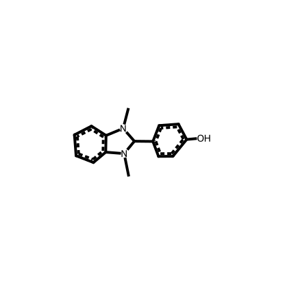 CN1c2ccccc2N(C)C1c1ccc(O)cc1